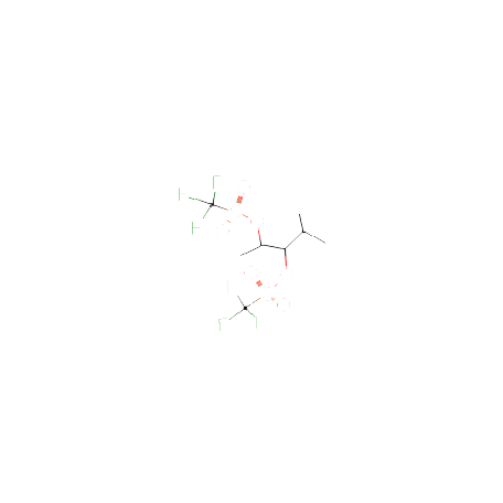 CC(C)C(OS(=O)(=O)C(F)(F)F)C(C)OS(=O)(=O)C(F)(F)F